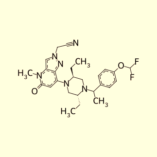 CC[C@H]1CN(C(C)c2ccc(OC(F)F)cc2)[C@H](CC)CN1c1cc(=O)n(C)c2cn(CC#N)nc12